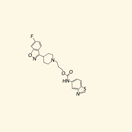 O=C(Nc1ccc2scnc2c1)OCCCN1CCC(c2noc3cc(F)ccc23)CC1